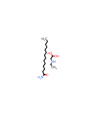 CCCCCCCCCCCCCC(N)=O.CCNCC(O)O